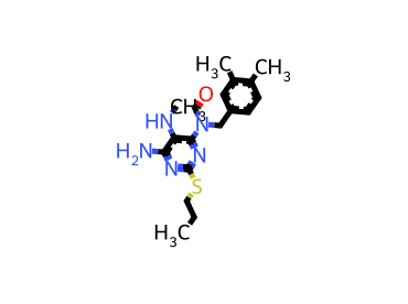 CCCSc1nc(N)c(NC)c(N(C=O)Cc2ccc(C)c(C)c2)n1